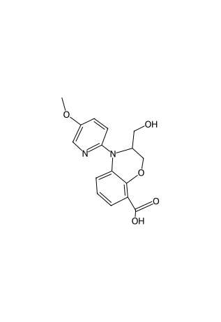 COc1ccc(N2c3cccc(C(=O)O)c3OCC2CO)nc1